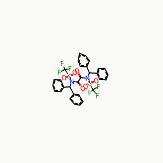 O=C(C(=O)N(C(c1ccccc1)c1ccccc1)S(=O)(=O)C(F)(F)F)N(C(c1ccccc1)c1ccccc1)S(=O)(=O)C(F)(F)F